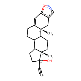 C#C[C@]1(O)CCC2C3CCC4=Cc5oncc5C[C@]4(C)C3CC[C@@]21C